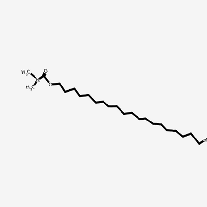 CCCCCCCCCCCCCCCCCCCCCCCCCCCCCCOC(=O)N(C)C